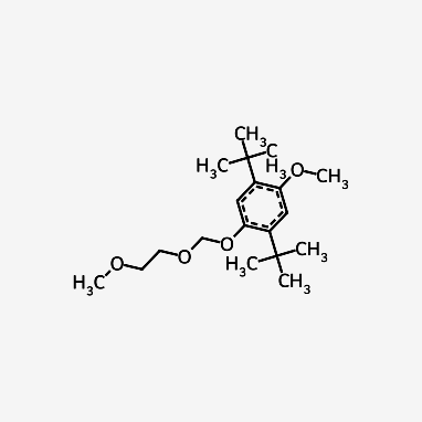 COCCOCOc1cc(C(C)(C)C)c(OC)cc1C(C)(C)C